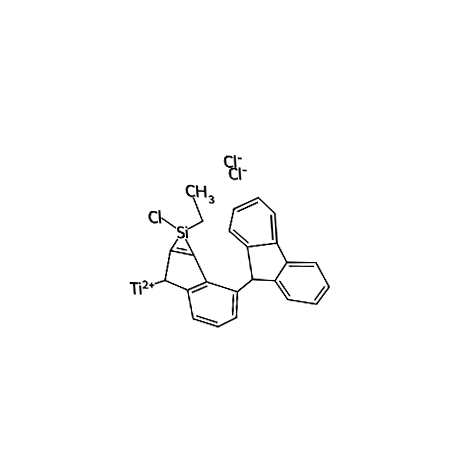 CC[Si]1(Cl)C2=C1[CH]([Ti+2])c1cccc(C3c4ccccc4-c4ccccc43)c12.[Cl-].[Cl-]